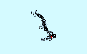 CC[C@@]1(C(=O)OC)C[C@H]2C[C@H](OCc3ccc(NC(=O)OC4CCC[C@@H](OOC5CC6CC(C)CC(C6)C5)C4)cc3)C[N@@](CCc3c1[nH]c1ccccc31)C2